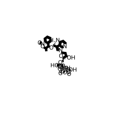 CC(C)[C@H](OCc1cn([C@H]2C[C@@H](O)[C@@H](COP(=O)(O)OP(=O)(O)OP(=O)(O)O)O2)c2nccc(N)c12)c1ccccc1[N+](=O)[O-]